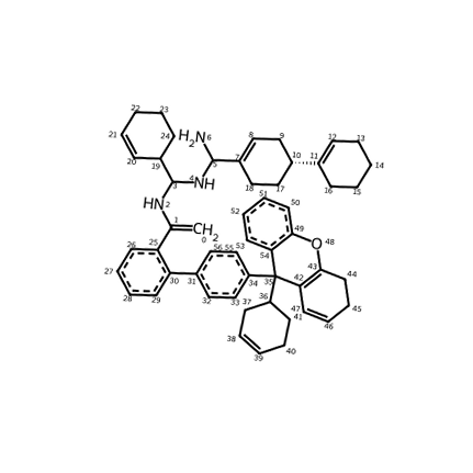 C=C(NC(NC(N)C1=CC[C@H](C2=CCCCC2)CC1)C1C=CCCC1)c1ccccc1-c1ccc(C2(C3CC=CCC3)C3=C(CCC=C3)Oc3ccccc32)cc1